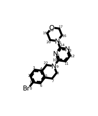 Brc1ccc2c(c1)CCN(c1ccnc(N3CCOCC3)n1)C2